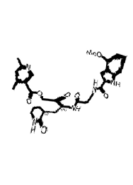 COc1cccc2[nH]c(C(=O)NCC(=O)N[C@@H](C[C@@H]3CCCNC3=O)C(=O)COC(=O)c3cnc(C)cc3C)cc12